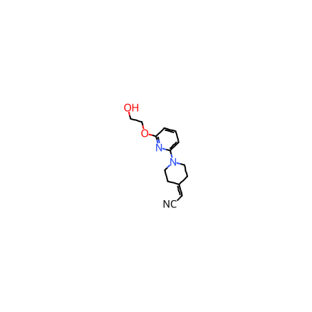 N#CC=C1CCN(c2cccc(OCCO)n2)CC1